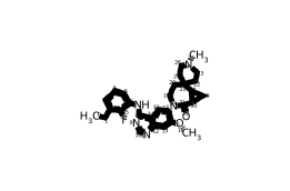 CCc1cccc(Nc2ncnc3cc(OC)c(N4CCC5(CCN(C)CC5)C5CC5C4=O)cc23)c1F